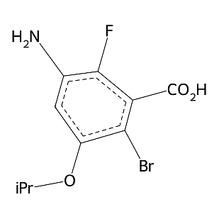 CC(C)Oc1cc(N)c(F)c(C(=O)O)c1Br